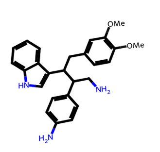 COc1ccc(CC(c2c[nH]c3ccccc23)C(CN)c2ccc(N)cc2)cc1OC